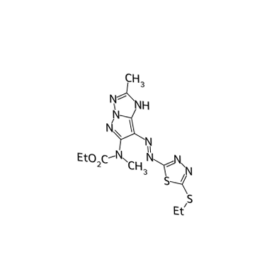 CCOC(=O)N(C)c1nn2nc(C)[nH]c2c1/N=N/c1nnc(SCC)s1